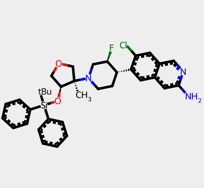 CC(C)(C)[Si](O[C@H]1COC[C@@]1(C)N1CC[C@@H](c2cc3cc(N)ncc3cc2Cl)[C@H](F)C1)(c1ccccc1)c1ccccc1